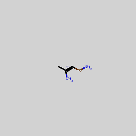 C/C(N)=C/SN